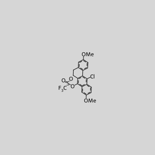 COc1ccc2c(c1)CCc1c-2c(Cl)c2ccc(OC)cc2c1OS(=O)(=O)C(F)(F)F